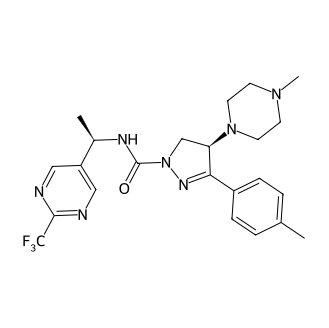 Cc1ccc(C2=NN(C(=O)N[C@H](C)c3cnc(C(F)(F)F)nc3)C[C@H]2N2CCN(C)CC2)cc1